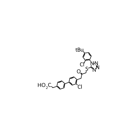 CC(C)(C)c1ccc(-n2nnnc2SCC(=O)Cc2ccc(-c3ccc(CC(=O)O)cc3)cc2Cl)c(Cl)c1